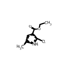 CCOC(=O)c1cc(C)[nH]c1Cl